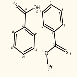 CC(C)OC(=S)c1ccccc1.OC(=S)c1ccccc1